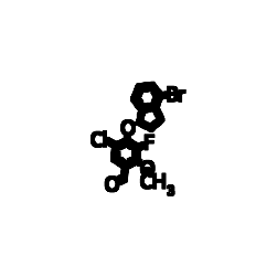 COc1c(C=O)cc(Cl)c(O[C@H]2CCc3c(Br)cccc32)c1F